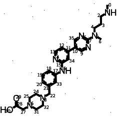 CNCCCN(C)c1ncc(-c2ccnc(Nc3cccc(CN4CCN(CC(=O)O)CC4)c3)c2)cn1